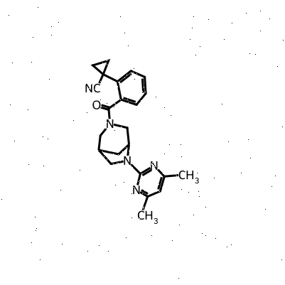 Cc1cc(C)nc(N2CC3CC2CN(C(=O)c2ccccc2C2(C#N)CC2)C3)n1